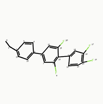 CCc1ccc(-c2cc(F)c(-c3ccc(F)c(F)c3)c(F)c2)cc1